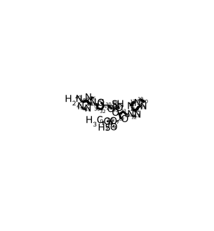 CCOP(=O)(S)OC[C@H]1O[C@@H](n2cnc3c2ncn2ccnc32)C[C@@H]1OP(=O)(S)OC[C@@H]1CC[C@H](n2cnc3c(N)ncnc32)O1